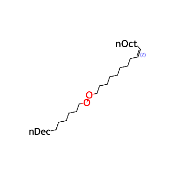 CCCCCCCC/C=C\CCCCCCCCOOCCCCCCCCCCCCCCCC